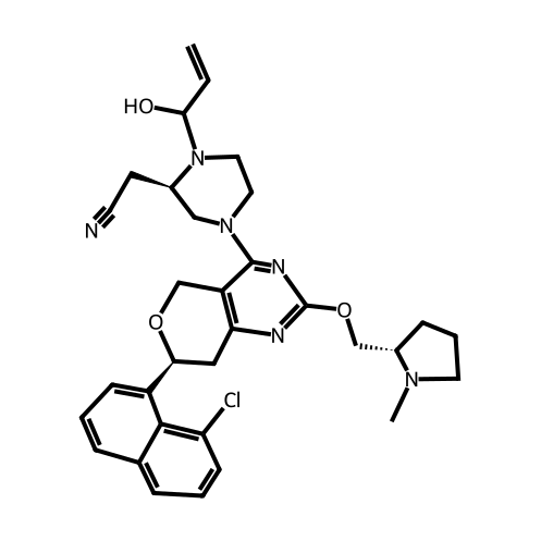 C=CC(O)N1CCN(c2nc(OC[C@@H]3CCCN3C)nc3c2CO[C@H](c2cccc4cccc(Cl)c24)C3)C[C@H]1CC#N